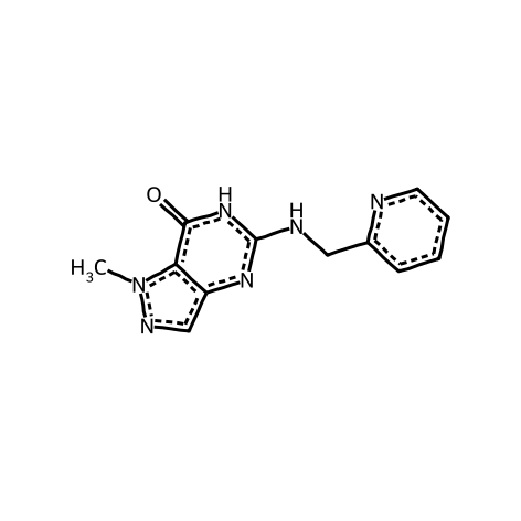 Cn1ncc2nc(NCc3ccccn3)[nH]c(=O)c21